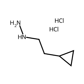 Cl.Cl.NNCCC1CC1